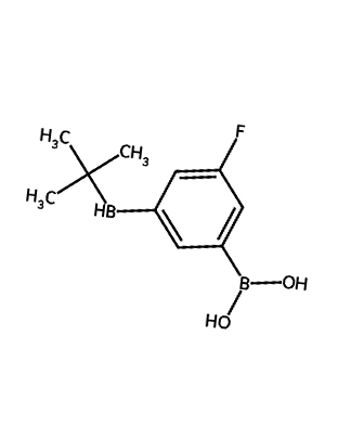 CC(C)(C)Bc1cc(F)cc(B(O)O)c1